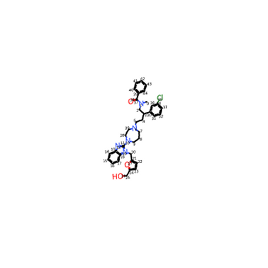 CN(CC(CCN1CCCN(c2nc3ccccc3n2Cc2ccc(CO)o2)CC1)c1cccc(Cl)c1)C(=O)c1ccccc1